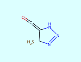 O=C=C1CN=NN1.S